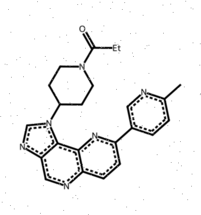 CCC(=O)N1CCC(n2cnc3cnc4ccc(-c5ccc(C)nc5)nc4c32)CC1